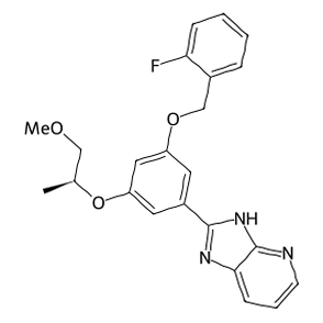 COC[C@H](C)Oc1cc(OCc2ccccc2F)cc(-c2nc3cccnc3[nH]2)c1